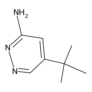 CC(C)(C)c1cnnc(N)c1